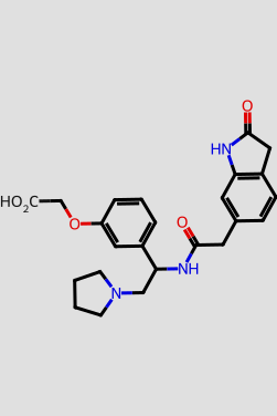 O=C(O)COc1cccc(C(CN2CCCC2)NC(=O)Cc2ccc3c(c2)NC(=O)C3)c1